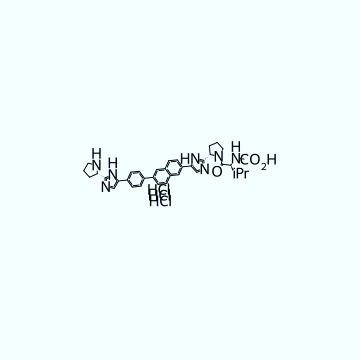 CC(C)[C@H](NC(=O)O)C(=O)N1CCC[C@H]1c1ncc(-c2ccc3cc(-c4ccc(-c5cnc([C@@H]6CCCN6)[nH]5)cc4)ccc3c2)[nH]1.Cl.Cl.Cl